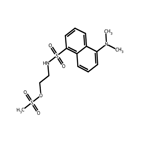 CN(C)c1cccc2c(S(=O)(=O)NCCOS(C)(=O)=O)cccc12